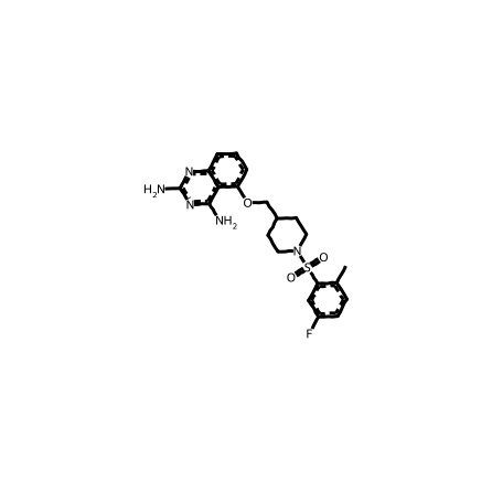 Cc1ccc(F)cc1S(=O)(=O)N1CCC(COc2cccc3nc(N)nc(N)c23)CC1